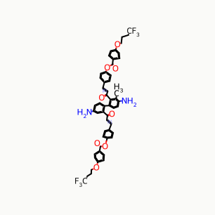 Cc1c(N)ccc(-c2ccc(N)cc2C(=O)/C=C/c2ccc(OC(=O)c3ccc(OCCCC(F)(F)F)cc3)cc2)c1C(=O)/C=C/c1ccc(OC(=O)c2ccc(OCCCC(F)(F)F)cc2)cc1